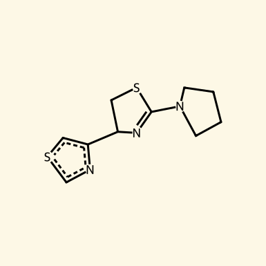 c1nc(C2CSC(N3CCCC3)=N2)cs1